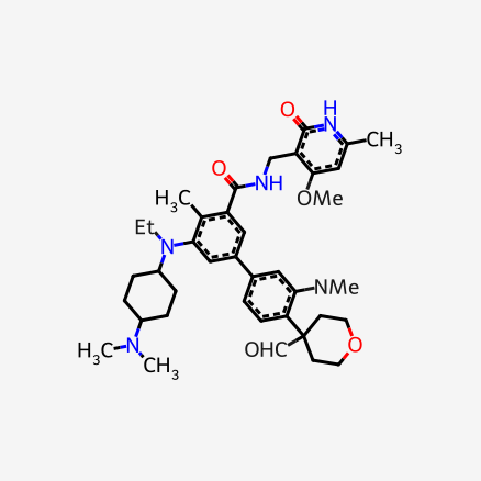 CCN(c1cc(-c2ccc(C3(C=O)CCOCC3)c(NC)c2)cc(C(=O)NCc2c(OC)cc(C)[nH]c2=O)c1C)C1CCC(N(C)C)CC1